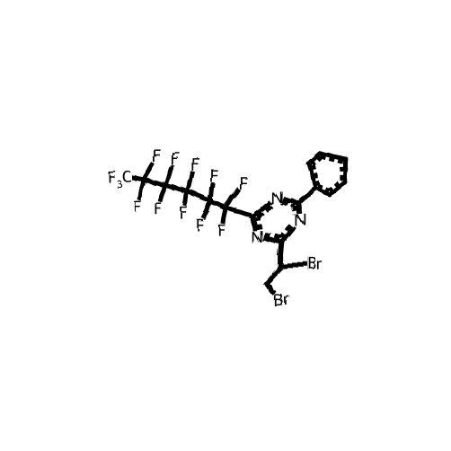 FC(F)(F)C(F)(F)C(F)(F)C(F)(F)C(F)(F)C(F)(F)c1nc(-c2ccccc2)nc(C(Br)CBr)n1